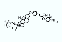 CC(C)CCC[C@@H](C)[C@H]1CCC2C3CCC4CC(Oc5ccc(C=CC(=O)Oc6ccc(N)cc6N)cc5)CC[C@]4(C)C3CC[C@@]21C